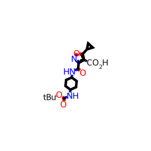 CC(C)(C)OC(=O)NC1CCC(NC(=O)c2noc(C3CC3)c2C(=O)O)CC1